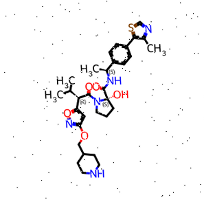 Cc1ncsc1-c1ccc([C@H](C)NC(=O)[C@@]2(O)CCCN2C(=O)[C@@H](c2cc(OCC3CCNCC3)no2)C(C)C)cc1